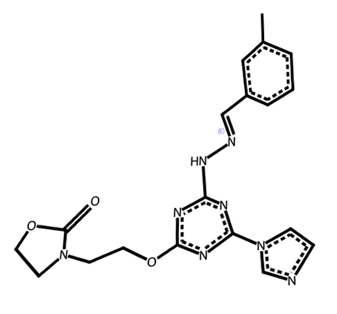 Cc1cccc(/C=N/Nc2nc(OCCN3CCOC3=O)nc(-n3ccnc3)n2)c1